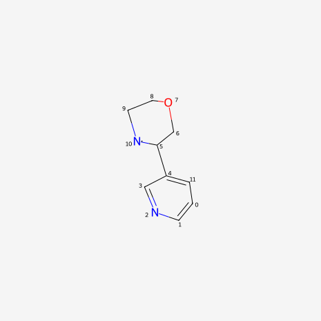 c1cncc(C2COCC[N]2)c1